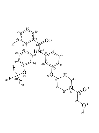 COCC(=O)N1CCC(Oc2cccc(NC(=O)c3cccc(C)c3-c3ccc(OC(F)(F)F)cc3)c2)CC1